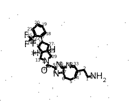 NCCC1=C/CCC2N=C(C(=O)N3C[C@H]4C[C@@H](c5ccccc5C(F)(F)F)C[C@H]4C3)N=C2/N=C\1